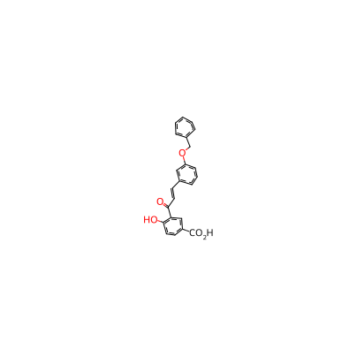 O=C(O)c1ccc(O)c(C(=O)C=Cc2cccc(OCc3ccccc3)c2)c1